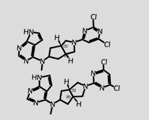 CN(c1ncnc2[nH]ccc12)C1C[C@@H]2CN(c3cc(Cl)nc(Cl)n3)C[C@@H]2C1.CN(c1ncnc2[nH]ccc12)C1C[C@@H]2CN(c3nc(Cl)cc(Cl)n3)C[C@@H]2C1